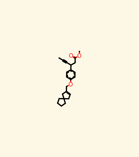 CC#CC(CC(=O)OC)c1ccc(OCC2=CCC3(CCCC3)C2)cc1